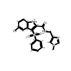 Cn1cnc(CNC(=O)c2[nH]c3ccc(Cl)cc3c2S(=O)(=O)c2ccccc2)c1